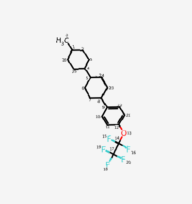 CC1CCC(C2CCC(c3ccc(OC(F)(F)C(F)(F)F)cc3)CC2)CC1